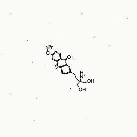 CCCOc1ccc2c(=O)c3cc(CCC(N)(CO)CO)ccc3oc2c1